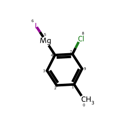 Cc1cc[c]([Mg][I])c(Cl)c1